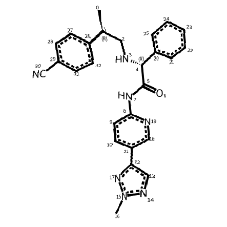 C[C@@H](CN[C@@H](C(=O)Nc1ccc(-c2cnn(C)n2)cn1)c1ccccc1)c1ccc(C#N)cc1